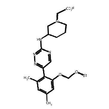 CCOCOc1cc(C)cc(C)c1-c1cnc(NC2CCCN(CC(=O)O)C2)nn1